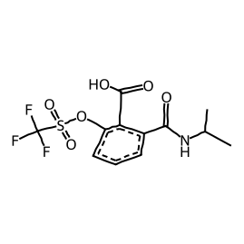 CC(C)NC(=O)c1cccc(OS(=O)(=O)C(F)(F)F)c1C(=O)O